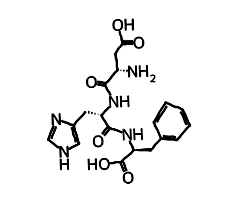 N[C@@H](CC(=O)O)C(=O)N[C@@H](Cc1c[nH]cn1)C(=O)N[C@@H](Cc1ccccc1)C(=O)O